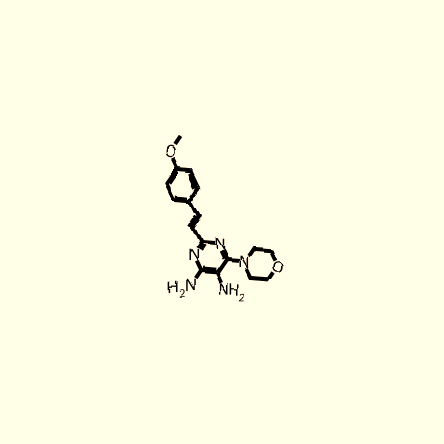 COc1ccc(/C=C/c2nc(N)c(N)c(N3CCOCC3)n2)cc1